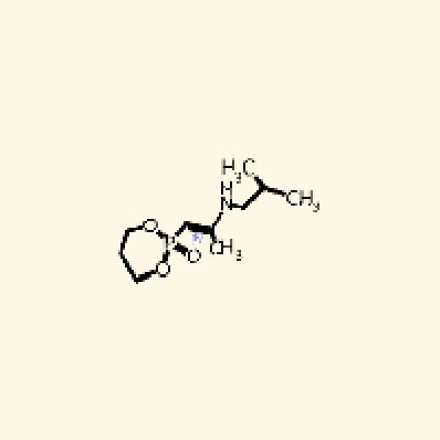 C/C(=C\P1(=O)OCCCO1)NCC(C)C